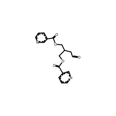 O=CCC(COC(=O)c1cccnc1)COC(=O)c1cccnc1